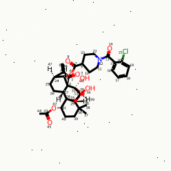 C=C1C(=O)[C@]23[C@H](OC(=O)C4CCN(C(=O)c5ccccc5Cl)CC4)[C@H]1CC[C@H]2[C@@]12CO[C@@]3(O)[C@@H](O)[C@@H]1C(C)(C)CC[C@@H]2OC(C)=O